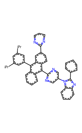 CC(C)c1cc(-c2c3ccccc3c(-c3ncc(-n4c(-c5ccccc5)nc5ccccc54)cn3)c3ccc(-c4ncccn4)cc23)cc(C(C)C)c1